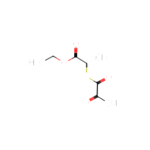 CCOC(=O)[C@H](C)SC(=O)C(C)=O